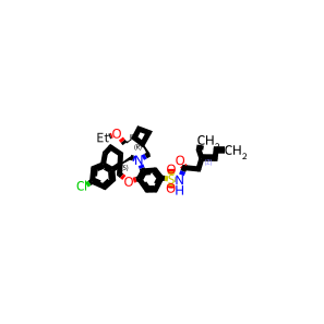 C=C/C=C(\C=C)CC(=O)NS(=O)(=O)c1ccc2c(c1)N(C[C@@H]1CC[C@H]1COCC)C[C@@]1(CCCc3cc(Cl)ccc31)CO2